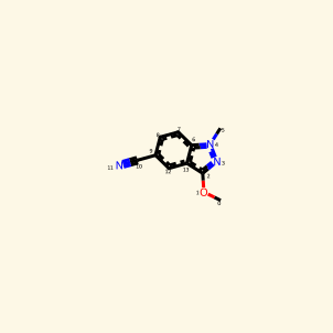 COc1nn(C)c2ccc(C#N)cc12